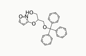 OCC(COC(c1ccccc1)(c1ccccc1)c1ccccc1)Oc1ccon1